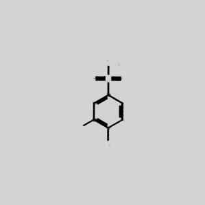 [CH2]NS(=O)(=O)c1ccc(Br)c(C(F)(F)F)c1